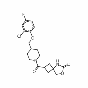 O=C1NC2(CO1)CC(C(=O)N1CCC(COc3ccc(F)cc3Cl)CC1)C2